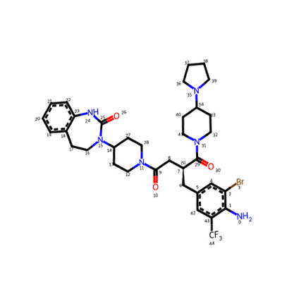 Nc1c(Br)cc(C[C@@H](CC(=O)N2CCC(N3CCc4ccccc4NC3=O)CC2)C(=O)N2CCC(N3CCCC3)CC2)cc1C(F)(F)F